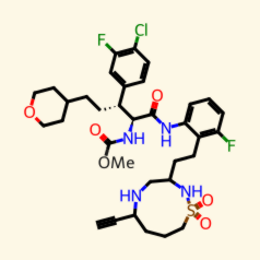 C#CC1CCCS(=O)(=O)NC(CCc2c(F)cccc2NC(=O)[C@@H](NC(=O)OC)[C@H](CCC2CCOCC2)c2ccc(Cl)c(F)c2)CN1